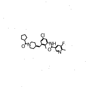 Cc1ncc(C(=O)Nc2cc(Cl)cc(C=C3CCN(C(=O)C4CCCC4)CC3)c2C)cc1F